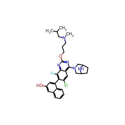 CC(C)CN(C)CCCOc1nc(N2CC3CCC(C2)N3)c2cc(Cl)c(-c3cc(O)cc4ccccc34)c(F)c2n1